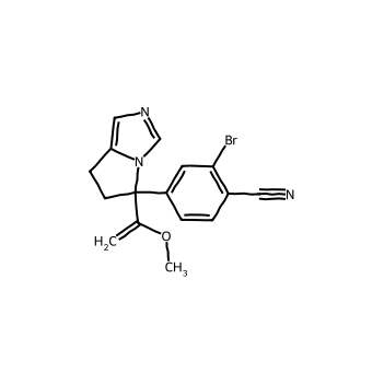 C=C(OC)C1(c2ccc(C#N)c(Br)c2)CCc2cncn21